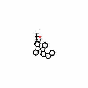 O=S(=O)(Oc1cccc2c1C1(c3ccccc3-c3ccccc31)c1ccc3ccc4ccccc4c3c1-2)C(F)(F)C(F)(F)C(F)(F)C(F)(F)F